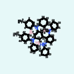 CC(C)c1ccc2c(c1)B1C3=C4C(=C(c5c(Nc6ccccc6)cccc5N(C)c5ccccc5)C5Bc6ccccc6N(c6ccc(C(C)C)cc61)C35)Bc1ccccc1N42